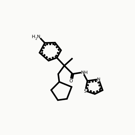 CC(CC1CCCC1)(C(=O)Nc1nccs1)c1ccc(N)cc1